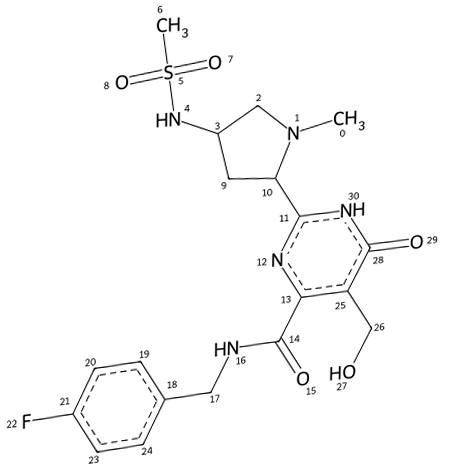 CN1CC(NS(C)(=O)=O)CC1c1nc(C(=O)NCc2ccc(F)cc2)c(CO)c(=O)[nH]1